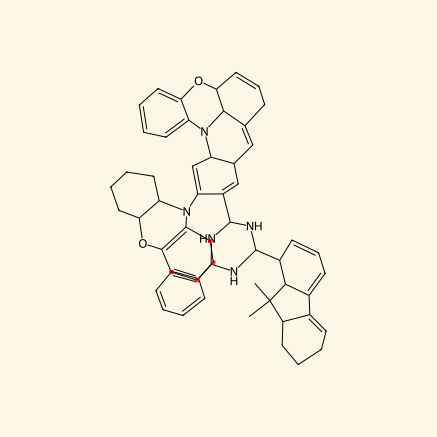 CC1(C)C2CCCC=C2C2=CC=CC(C3NC(C4=CC5C=C6CC=CC7Oc8ccccc8N(C5C=C4N4C5=C(C=CCC5)OC5CCCCC54)C67)NC(c4ccccc4)N3)C21